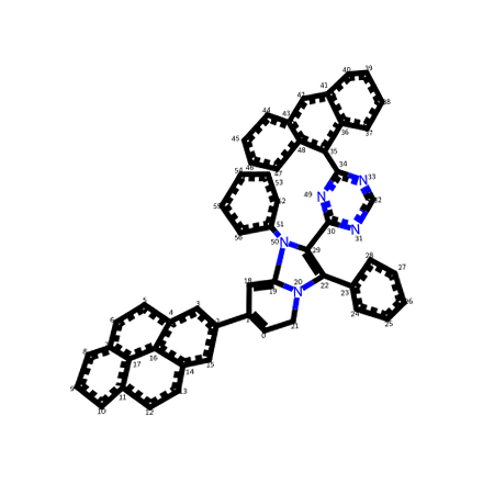 C1=C(c2cc3ccc4cccc5ccc(c2)c3c45)C=C2N(C1)C(c1ccccc1)=C(c1ncnc(-c3c4ccccc4cc4ccccc34)n1)N2c1ccccc1